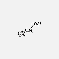 C=C(/N=C\C)NC(C)CN(C)CCC(=O)O